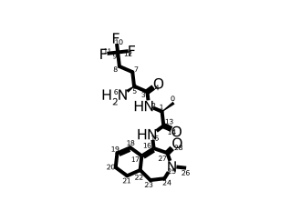 C[C@H](NC(=O)[C@@H](N)CCC(F)(F)F)C(=O)NC1=C2C=CCCC2CCN(C)C1=O